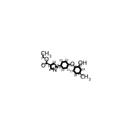 CCOC(=O)c1cnn(-c2ccc(Oc3ccc(C)cc3O)cc2)c1